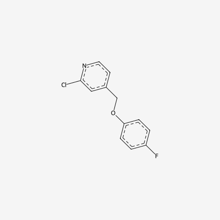 Fc1ccc(OCc2ccnc(Cl)c2)cc1